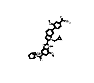 COc1cc(C(N)=O)ccc1-c1ccc2cc(-c3nc4cc(C(=O)N5CC6CCC5C6N)cc(OC)c4n3C)n(CC3CC3)c2c1